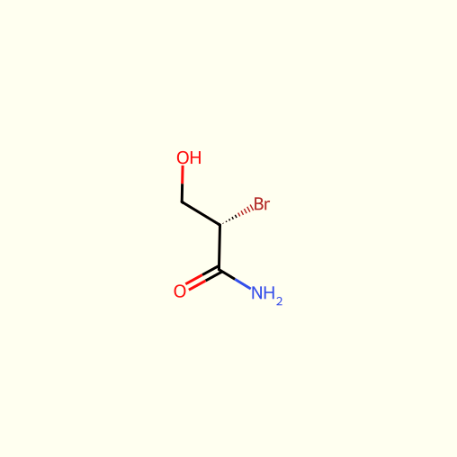 NC(=O)[C@@H](Br)CO